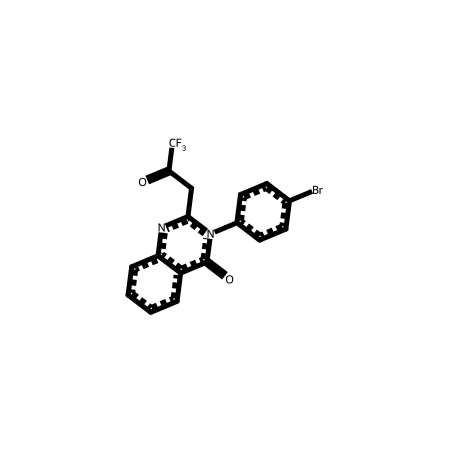 O=C(Cc1nc2ccccc2c(=O)n1-c1ccc(Br)cc1)C(F)(F)F